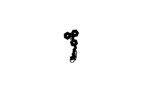 IC1(COCCc2ccc(-n3c4ccccc4c4ccccc43)cc2)COC1